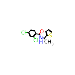 CC(NC(=O)c1ccc(Cl)cc1Cl)c1cccs1